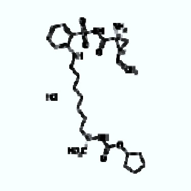 C=C[C@@H]1C[C@]1(N)C(=O)NS(=O)(=O)c1ccccc1NCCCCCCC[C@H](NC(=O)OC1CCCC1)C(=O)O.Cl